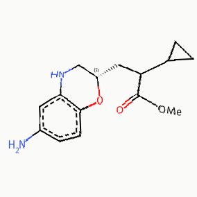 COC(=O)C(C[C@H]1CNc2cc(N)ccc2O1)C1CC1